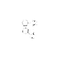 C1CCC(n2nnnc2SSc2nnnn2C2CCCCC2)CC1